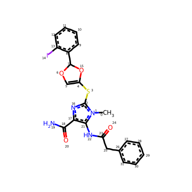 Cn1c(SC2=COC(c3ccccc3I)O2)nc(C(N)=O)c1NC(=O)Cc1ccccc1